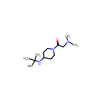 CCCCC(C)(C)NC1CCN(C(=O)CN(C)C)CC1